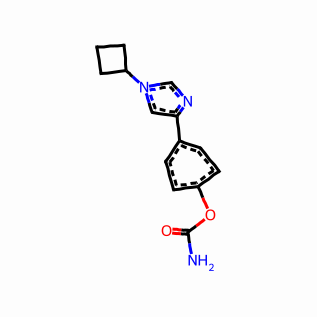 NC(=O)Oc1ccc(-c2cn(C3CCC3)cn2)cc1